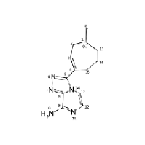 C[C@@H]1CC=C(c2nnc3c(N)nccn23)CCC1